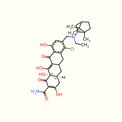 CCN(Cc1cc(O)c2c(c1Cl)CC1C[C@H]3CC(O)=C(C(N)=O)C(=O)[C@@]3(O)C(O)=C1C2=O)[C@H]1CC2CCC1(C)C2(C)C